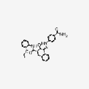 CCOc1ccccc1NC(=O)C1=Cc2ccccc2C(=NNc2ccc(C(N)=O)cc2)C1=O